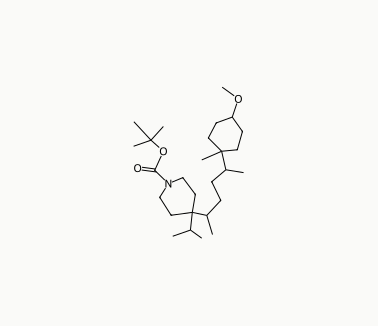 COC1CCC(C)(C(C)CCC(C)C2(C(C)C)CCN(C(=O)OC(C)(C)C)CC2)CC1